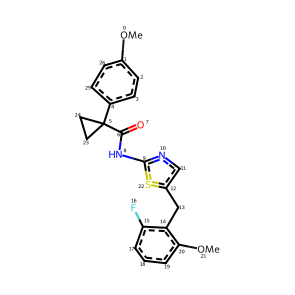 COc1ccc(C2(C(=O)Nc3ncc(Cc4c(F)cccc4OC)s3)CC2)cc1